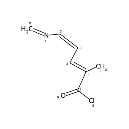 C=N/C=C\C=C(/C)C(=O)Cl